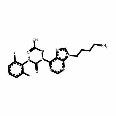 NCCCCn1cnc2c(N(NC(=O)O)C(=O)Nc3c(F)cccc3F)ncnc21